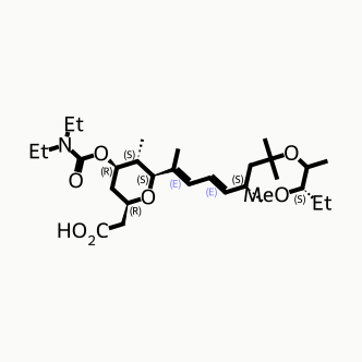 CC[C@H](OC)C(C)OC(C)(C)C[C@H](C)/C=C/C=C(\C)[C@H]1O[C@@H](CC(=O)O)C[C@@H](OC(=O)N(CC)CC)[C@@H]1C